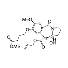 C=CCOC(=O)N1c2cc(OCCCC(=O)OC)c(OC)cc2C(=O)N2CCC[C@H]2[C@@H]1O